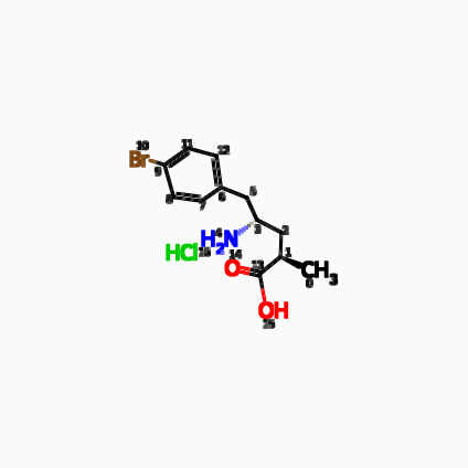 C[C@H](C[C@H](N)Cc1ccc(Br)cc1)C(=O)O.Cl